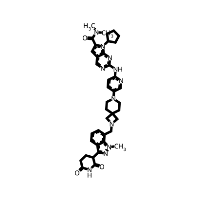 CN(C)C(=O)c1cc2cnc(Nc3ccc(N4CCC5(CC4)CN(Cc4cccc6c(C7CCC(=O)NC7=O)nn(C)c46)C5)cn3)nc2n1C1CCCC1